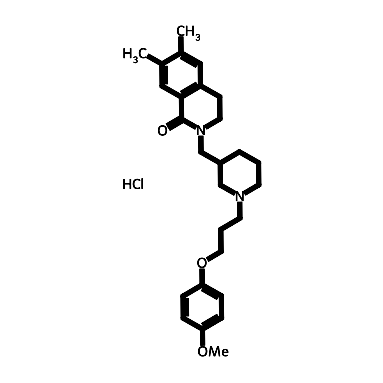 COc1ccc(OCCCN2CCCC(CN3CCc4cc(C)c(C)cc4C3=O)C2)cc1.Cl